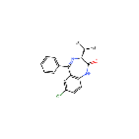 CCC(CC)[C@@H]1N=C(c2ccccc2)c2cc(Cl)ccc2NC1=O